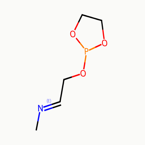 C/N=C/COP1OCCO1